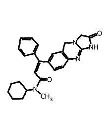 CN(C(=O)/C=C(/c1ccccc1)c1ccc2c(c1)CN1CC(=O)NC1=N2)C1CCCCC1